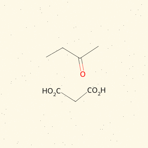 CCC(C)=O.O=C(O)CC(=O)O